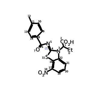 CCC(C(=O)O)n1/c(=N/C(=O)c2ccc(C)cc2)sc2c([N+](=O)[O-])cccc21